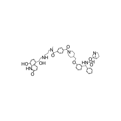 CN(CCCNC[C@@H](O)c1ccc(O)c2[nH]c(=O)ccc12)C(=O)c1ccc(C(=O)N2CCC(COc3cccc(C(NC(=O)O[C@H]4CN5CCC4CC5)c4ccccc4)c3)CC2)cc1